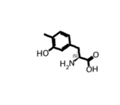 Cc1ccc(C[C@H](N)C(=O)O)cc1O